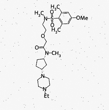 CCN1CCN([C@@H]2CC[C@H](N(C)C(=O)COCCN(C)S(=O)(=O)c3c(C)cc(OC)cc3C)C2)CC1